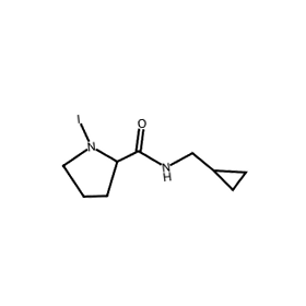 O=C(NCC1CC1)C1CCCN1I